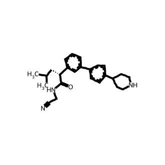 CC(C)C[C@@H](C(=O)NCC#N)c1cccc(-c2ccc(C3CCNCC3)cc2)c1